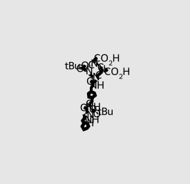 CC(C)(C)OC(=O)CN1CCN(CC(=O)O)CCN(CC(=O)O)CCN(CC(=O)NCc2ccc(CONC(=O)[C@@H](Cc3cc4ccccc4[nH]3)NC(=O)OC(C)(C)C)cc2)CC1